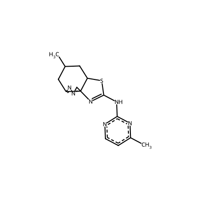 Cc1ccnc(NC2=NC34C=NN=C3CC(C)CC4S2)n1